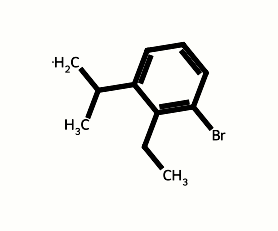 [CH2]C(C)c1cccc(Br)c1CC